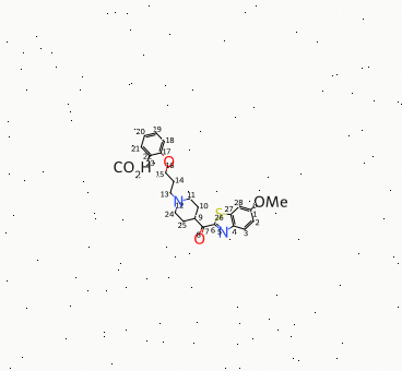 COc1ccc2nc(C(=O)C3CCN(CCCOc4ccccc4C(=O)O)CC3)sc2c1